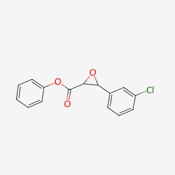 O=C(Oc1ccccc1)C1OC1c1cccc(Cl)c1